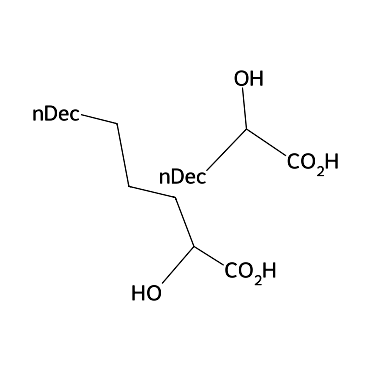 CCCCCCCCCCC(O)C(=O)O.CCCCCCCCCCCCCC(O)C(=O)O